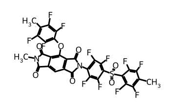 Cc1c(F)c(F)c(Oc2c3c(=O)n(C)c(=O)c3cc3c(=O)n(-c4c(F)c(F)c(S(=O)(=O)c5c(F)c(F)c(C)c(F)c5F)c(F)c4F)c(=O)c23)c(F)c1F